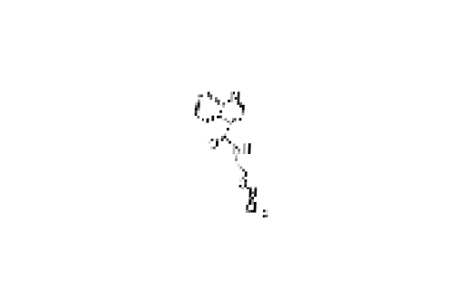 C=NOCCNC(=O)c1ccnc2ccccc12